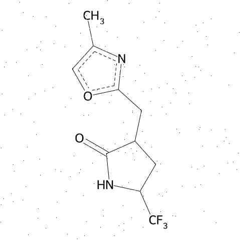 Cc1coc(CC2CC(C(F)(F)F)NC2=O)n1